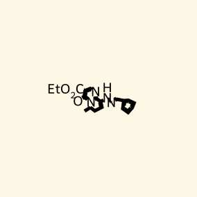 CCOC(=O)c1cnc2n(c1=O)C(C)CC=C2NN=Cc1ccccc1